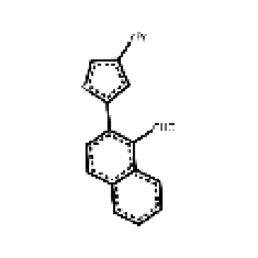 CCCc1csc(-c2ccc3ccccc3c2C=O)c1